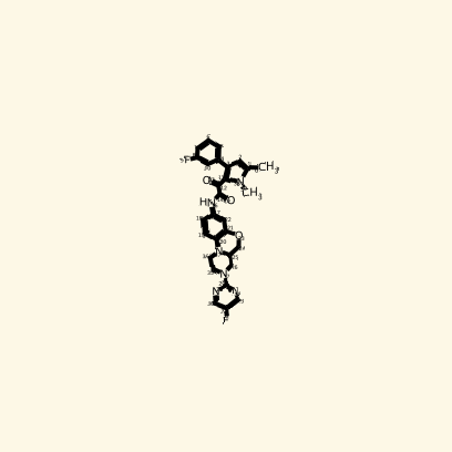 Cc1cc(-c2cccc(F)c2)c(C(=O)C(=O)Nc2ccc3c(c2)OCC2CN(c4ncc(F)cn4)CCN32)n1C